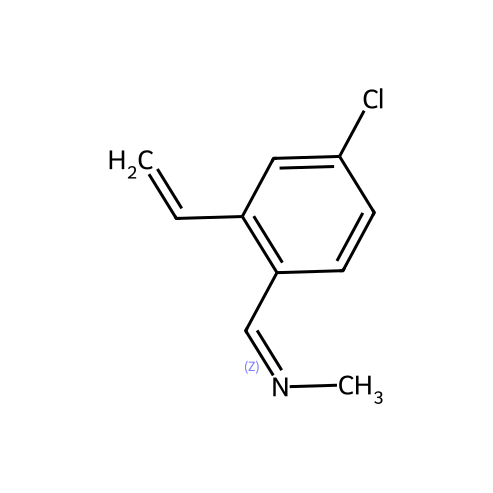 C=Cc1cc(Cl)ccc1/C=N\C